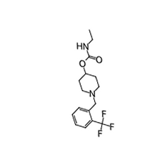 CCNC(=O)OC1CCN(Cc2ccccc2C(F)(F)F)CC1